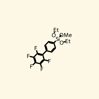 CCO[Si](OC)(OCC)c1ccc(-c2c(F)c(F)c(F)c(F)c2F)cc1